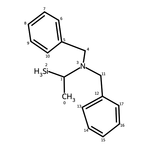 CC([SiH3])N(Cc1ccccc1)Cc1ccccc1